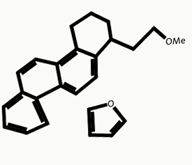 COCCC1CCCc2c1ccc1c2ccc2ccccc21.c1ccoc1